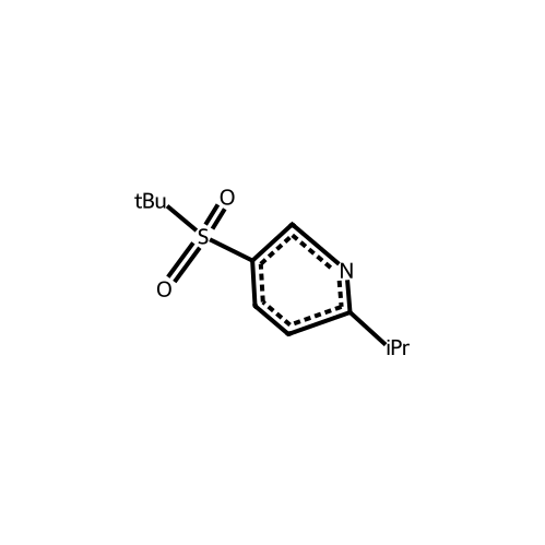 CC(C)c1ccc(S(=O)(=O)C(C)(C)C)cn1